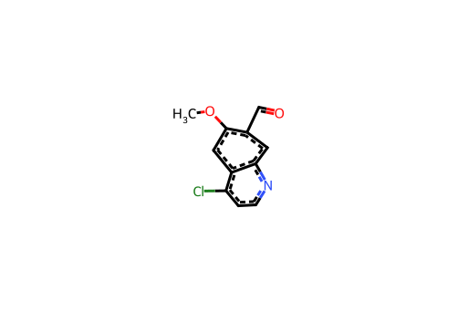 COc1cc2c(Cl)ccnc2cc1C=O